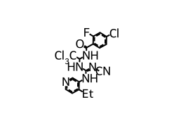 CCc1ccncc1N/C(=N\C#N)NC(NC(=O)c1ccc(Cl)cc1F)C(Cl)(Cl)Cl